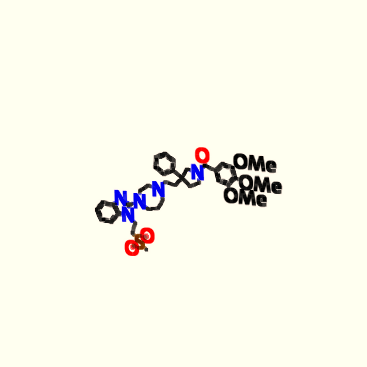 COc1cc(C(=O)N2CCC(CCN3CCCN(c4nc5ccccc5n4CCS(C)(=O)=O)CC3)(c3ccccc3)C2)cc(OC)c1OC